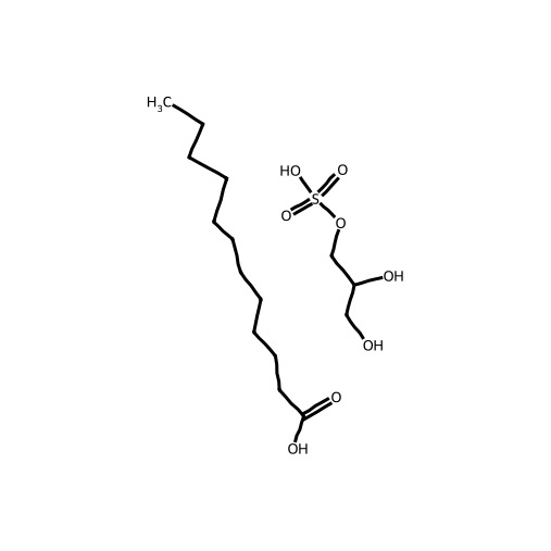 CCCCCCCCCCCC(=O)O.O=S(=O)(O)OCC(O)CO